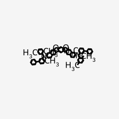 Cc1ccc(C)c(N(c2ccc3cc4c(cc3c2)oc2cc3oc5cc6cc(N(c7cc(C)ccc7C)c7cc(-c8ccccc8)ccc7C)ccc6cc5c3cc24)c2cc(-c3ccccc3)ccc2C)c1